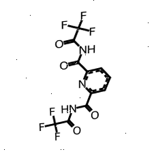 O=C(NC(=O)C(F)(F)F)c1cccc(C(=O)NC(=O)C(F)(F)F)n1